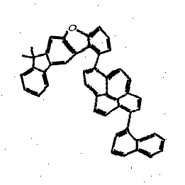 CC1(C)c2ccccc2-c2cc3c(cc21)oc1cccc(-c2ccc4ccc5c(-c6cccc7ccccc67)ccc6ccc2c4c65)c13